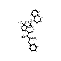 CC1(C)SCN(C(=O)[C@@H](O)[C@@H](N)Cc2ccccc2)[C@@H]1C(=O)N[C@H]1CCOc2ccccc21